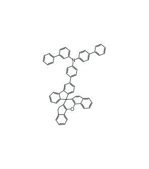 c1ccc(-c2ccc(N(c3ccc(-c4ccc5c(c4)-c4ccccc4C54C5=C(Oc6c4ccc4ccccc64)c4ccccc4CC5)cc3)c3cccc(-c4ccccc4)c3)cc2)cc1